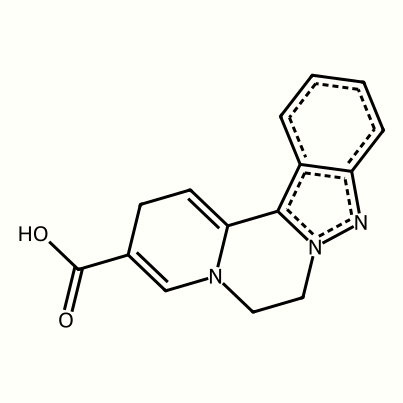 O=C(O)C1=CN2CCn3nc4ccccc4c3C2=CC1